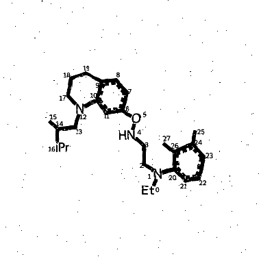 CCN(CCNOc1ccc2c(c1)N(CC(C)C(C)C)CCC2)c1cccc(C)c1C